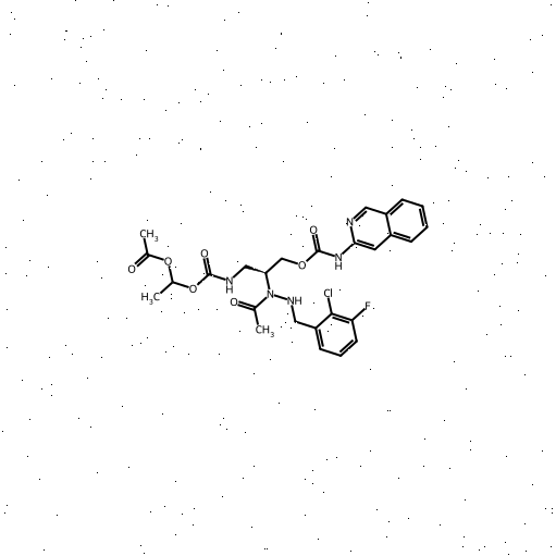 CC(=O)OC(C)OC(=O)NC[C@@H](COC(=O)Nc1cc2ccccc2cn1)N(NCc1cccc(F)c1Cl)C(C)=O